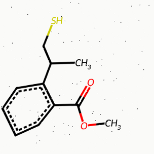 COC(=O)c1ccccc1C(C)CS